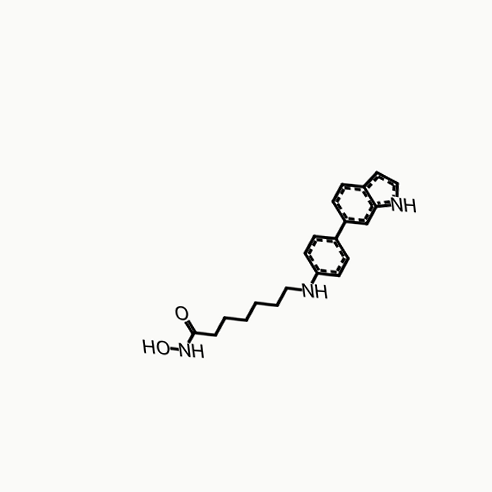 O=C(CCCCCCNc1ccc(-c2ccc3cc[nH]c3c2)cc1)NO